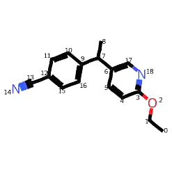 CCOc1ccc(C(C)c2ccc(C#N)cc2)cn1